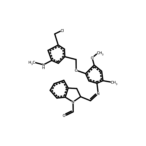 CNc1cc(CCl)cc(COc2cc(/N=C\C3Cc4ccccc4N3C=O)c(C)cc2OC)c1